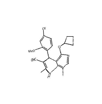 COc1cc(C#N)ccc1C1C(C=O)=C(C)Nc2c(C)cnc(OC3CCC3)c21